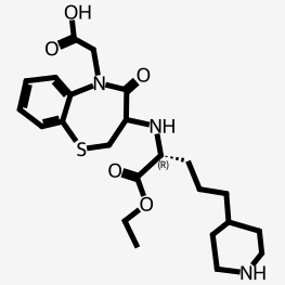 CCOC(=O)[C@@H](CCCC1CCNCC1)NC1CSc2ccccc2N(CC(=O)O)C1=O